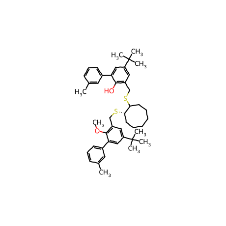 COc1c(CS[C@H]2CCCCCCC2SCc2cc(C(C)(C)C)cc(-c3cccc(C)c3)c2O)cc(C(C)(C)C)cc1-c1cccc(C)c1